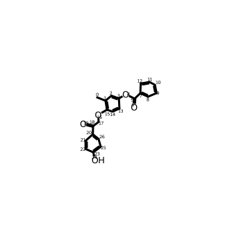 Cc1cc(OC(=O)c2ccccc2)ccc1OCC(=O)c1ccc(O)cc1